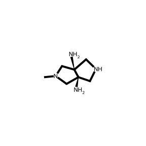 CN1C[C@]2(N)CNC[C@]2(N)C1